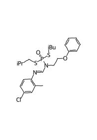 CCC(C)SP(=O)(SCC(C)C)N(C=Nc1ccc(Cl)cc1C)CCOc1ccccc1